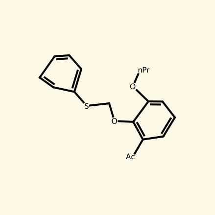 CCCOc1cccc(C(C)=O)c1OCSc1ccccc1